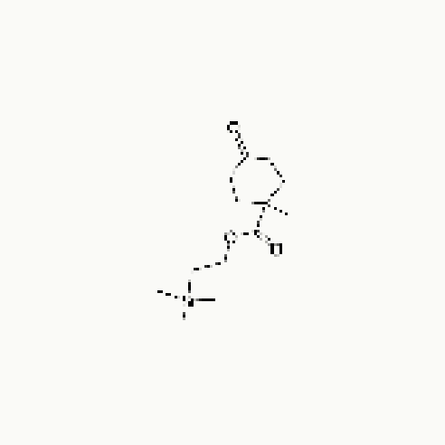 CC1(C(=O)OCC[Si](C)(C)C)CCC(=O)CC1